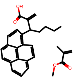 C=C(C(=O)O)C(CCCC)c1ccc2ccc3cccc4ccc1c2c34.C=C(C)C(=O)OC